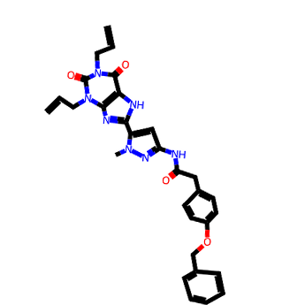 C=CCn1c(=O)c2[nH]c(-c3cc(NC(=O)Cc4ccc(OCc5ccccc5)cc4)nn3C)nc2n(CC=C)c1=O